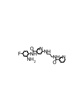 Nc1cc(F)ccc1NC(=O)c1ccc(NCCCNC(=O)c2cccnc2)nc1